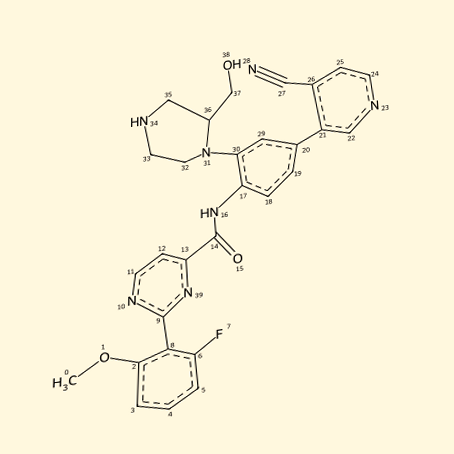 COc1cccc(F)c1-c1nccc(C(=O)Nc2ccc(-c3cnccc3C#N)cc2N2CCNCC2CO)n1